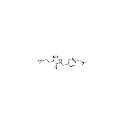 CN(C)Cc1ccc(CNC(=O)C(N)CCC2CC2)cc1